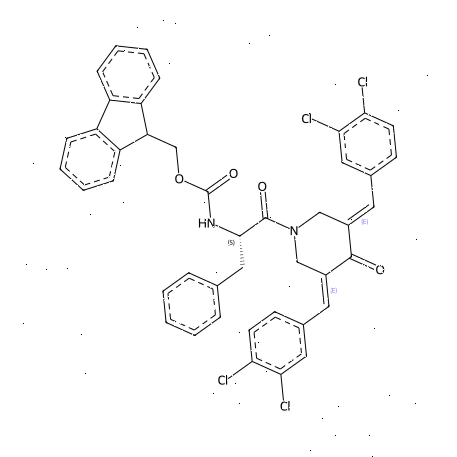 O=C(N[C@@H](Cc1ccccc1)C(=O)N1C/C(=C\c2ccc(Cl)c(Cl)c2)C(=O)/C(=C/c2ccc(Cl)c(Cl)c2)C1)OCC1c2ccccc2-c2ccccc21